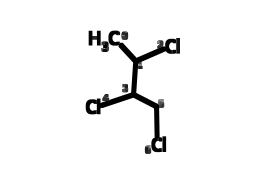 CC(Cl)C(Cl)CCl